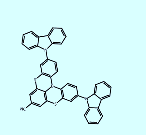 N#Cc1cc2c3c(c1)Sc1cc(-n4c5ccccc5c5ccccc54)ccc1B3c1ccc(-n3c4ccccc4c4ccccc43)cc1S2